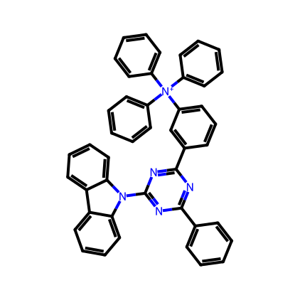 c1ccc(-c2nc(-c3cccc([N+](c4ccccc4)(c4ccccc4)c4ccccc4)c3)nc(-n3c4ccccc4c4ccccc43)n2)cc1